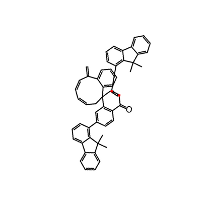 C=C1/C=C\C=C/CC2(c3ccccc31)c1cc(-c3cccc4c3C(C)(C)c3ccccc3-4)ccc1C(=O)c1ccc(-c3cccc4c3C(C)(C)c3ccccc3-4)cc12